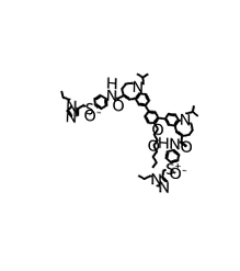 CCCCOCCOc1ccc(-c2ccc3c(c2)C=C(C(=O)Nc2ccc([S+]([O-])Cc4cncn4CCC)cc2)CCCN3CC(C)C)cc1-c1ccc2c(c1)C=C(C(=O)Nc1ccc([S+]([O-])Cc3cncn3CCC)cc1)CCCN2CC(C)C